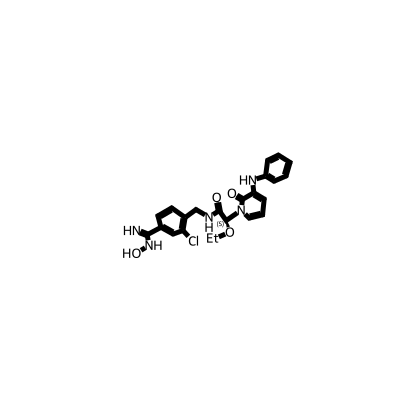 CCO[C@@H](C(=O)NCc1ccc(C(=N)NO)cc1Cl)n1cccc(Nc2ccccc2)c1=O